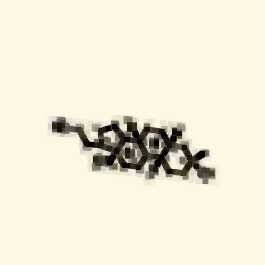 C[C@@]1(O)CC[C@H]2[C@H](CC[C@@H]3[C@@H]2CC[C@@]2(C)[C@H]3CC[C@]2(O)CCO)C1